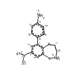 CCN(CC)c1nc2c(c(-c3ccc(N)cc3)n1)CCCNC2